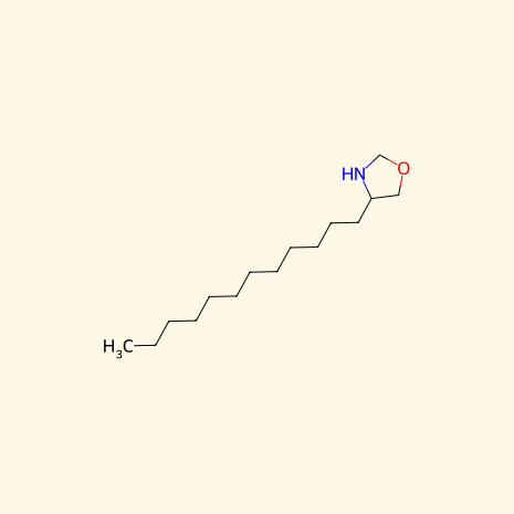 CCCCCCCCCCCCC1COCN1